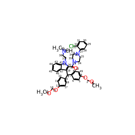 COCOc1ccc(C(c2ccc(OCOC)cc2)c2c(C(=O)N3CCN(c4ccccc4Cl)CC3)n(CCN(C)C)c3ccccc23)cc1